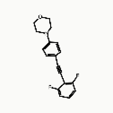 Fc1cccc(F)c1C#Cc1ccc(N2CCOCC2)cc1